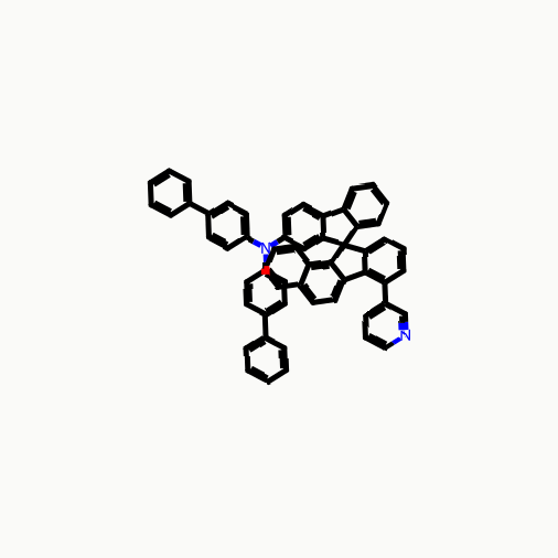 c1ccc(-c2ccc(N(c3ccc(-c4ccccc4)cc3)c3ccc4c(c3)C3(c5ccccc5-4)c4cccc(-c5cccnc5)c4-c4ccc5ccccc5c43)cc2)cc1